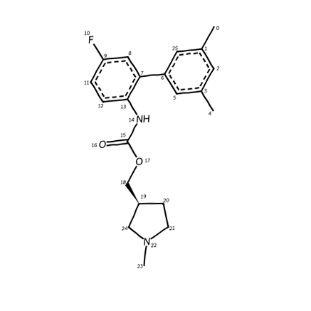 Cc1cc(C)cc(-c2cc(F)ccc2NC(=O)OC[C@H]2CCN(C)C2)c1